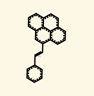 [c]1ccc2c(/C=C/c3ccccc3)cc3cccc4ccc1c2c43